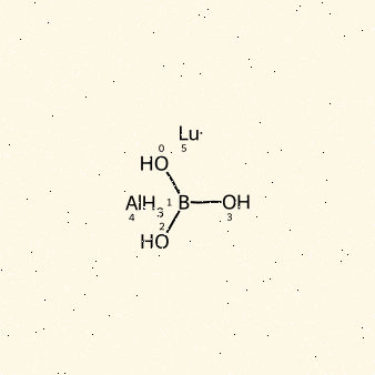 OB(O)O.[AlH3].[Lu]